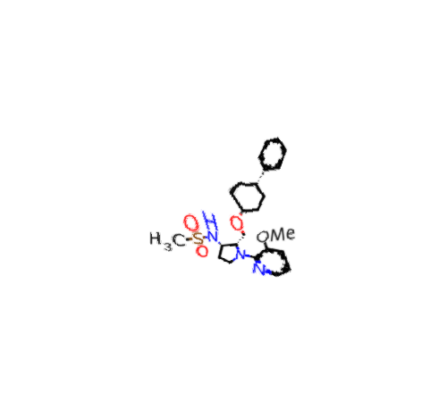 COc1cccnc1N1CC[C@H](NS(C)(=O)=O)[C@@H]1CO[C@H]1CC[C@@H](c2ccccc2)CC1